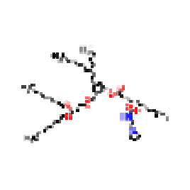 [CH2]CCCCCC(CCCC)CCc1cc(COC(=O)CCC(CCCCCC)OC(=O)NCCN2CCCC2)cc(COC(=O)CCC(OCCCCCCCC)OCCCCCCCC)c1